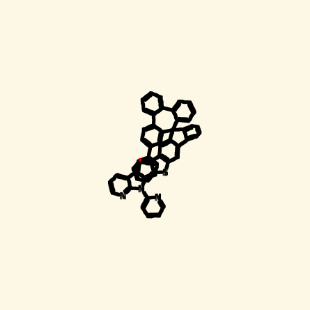 c1ccc(-n2c3ccc(-c4ccc5c(c4)C4(c6ccccc6-c6ccccc6-5)c5ccccc5-c5cc6sc7ccccc7c6cc54)cc3c3cccnc32)nc1